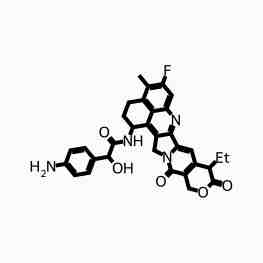 CCC1C(=O)OCc2c1cc1n(c2=O)Cc2c-1nc1cc(F)c(C)c3c1c2C(NC(=O)C(O)c1ccc(N)cc1)CC3